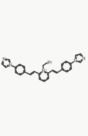 CC(C)C[n+]1c(/C=C/c2ccc(-n3ccnc3)cc2)cccc1/C=C/c1ccc(-n2ccnc2)cc1